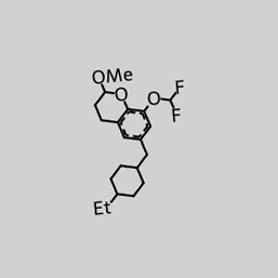 CCC1CCC(Cc2cc3c(c(OC(F)F)c2)OC(OC)CC3)CC1